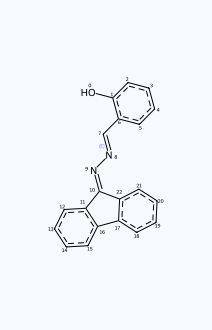 Oc1ccccc1/C=N/N=C1c2ccccc2-c2ccccc21